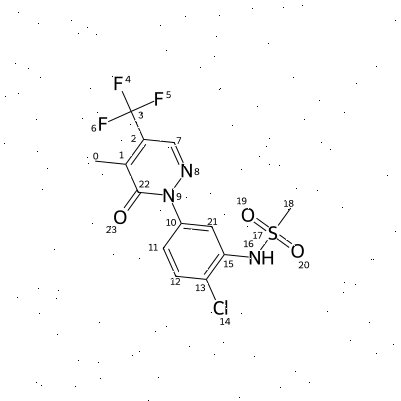 Cc1c(C(F)(F)F)cnn(-c2ccc(Cl)c(NS(C)(=O)=O)c2)c1=O